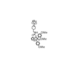 [2H]C(C(=O)c1ccc(OC)cc1)(c1ccc(OC)cc1OC)N(CC(=O)NCC1CCN(C(=O)OC(C)(C)C)CC1)c1cccs1